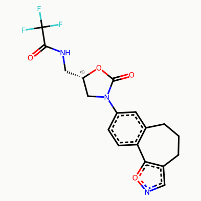 O=C1O[C@@H](CNC(=O)C(F)(F)F)CN1c1ccc2c(c1)CCCc1cnoc1-2